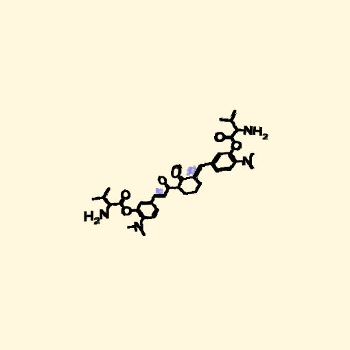 CC(C)C(N)C(=O)Oc1cc(/C=C/C(=O)C2CCC/C(=C\c3ccc(N(C)C)c(OC(=O)C(N)C(C)C)c3)C2=O)ccc1N(C)C